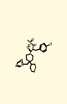 CS(=O)(=O)NC(Cc1ccc(Cl)cc1)C(=O)N1CCC(Cn2cncn2)(C2CCCCC2)CC1